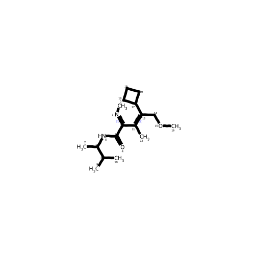 C/N=C(C(=O)NC(C)C(C)C)\C(C)=C(\COC)C1CCC1